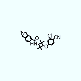 CN1Cc2ccc(C(=O)N[C@H]3C(C)(C)[C@H](Oc4ccc(C#N)c(Cl)c4)C3(C)C)cc2C1